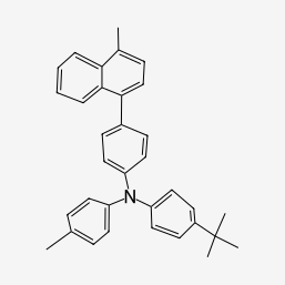 Cc1ccc(N(c2ccc(-c3ccc(C)c4ccccc34)cc2)c2ccc(C(C)(C)C)cc2)cc1